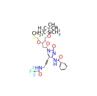 CSCOC1CC(n2cc(C#CCNC(=O)C(F)(F)F)c(NC(=O)c3ccccc3)nc2=O)OC1CO[Si](C)(C)C(C)(C)C